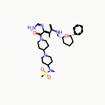 C=C(NC[C@H]1CCC[C@@H](c2ccccc2)O1)/C(C)=C(\N=C/N)C(=O)N1CCC(N2CCC(N(C)S(C)(=O)=O)CC2)CC1